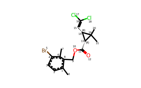 Cc1ccc(Br)c(C)c1COC(=O)[C@@H]1[C@H](C=C(Cl)Cl)C1(C)C